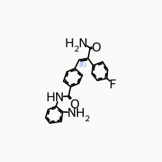 NC(=O)/C(=C/c1ccc(C(=O)Nc2ccccc2N)cc1)c1ccc(F)cc1